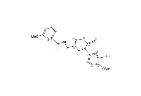 COc1cccc([C@@H](C)NCC2CN(c3ccc(OC)c(F)c3)C(=O)CO2)c1